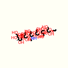 C=CCO[C@@H]1OC(CO)[C@@H](O[C@@H]2OC(CO)[C@H](O[C@H]3OC(CO)[C@H](O)[C@H](O[C@@H]4OC(CO)[C@H](O)[C@H](O[C@@H]5OC(CO)[C@H](O)[C@H](O[C@]6(OC=O)C[C@@H](O)[C@@H](C)C([C@H](O)[C@H](O)CO)O6)C5O)C4NC(C)=O)C3O)[C@H](O)C2O)[C@H](O)C1O